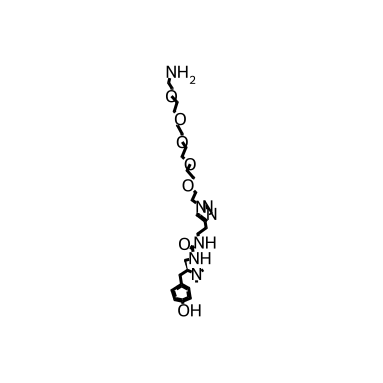 CN(C)[C@H](CNC(=O)NCCc1cn(CCOCCOCCOCCOCCOCCN)nn1)Cc1ccc(O)cc1